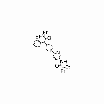 CCC(CC)C(=O)Nc1ccc(N2CCC(C(C(=O)N(CC)CC)c3ccccc3)CC2)nc1